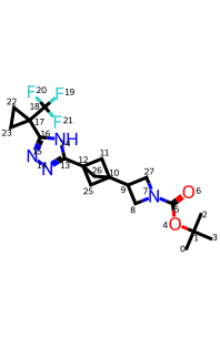 CC(C)(C)OC(=O)N1CC(C23CC(c4nnc(C5(C(F)(F)F)CC5)[nH]4)(C2)C3)C1